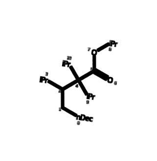 CCCCCCCCCCCC(C(C)C)C(C(=O)OC(C)C)(C(C)C)C(C)C